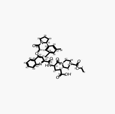 CCOC(=O)N1CCN(C(=O)C(CCC(=O)O)NC(=O)c2cc(OCC(=O)N3CCC[C@H]3c3cc(C)cc(C)c3)c3ccccc3n2)CC1